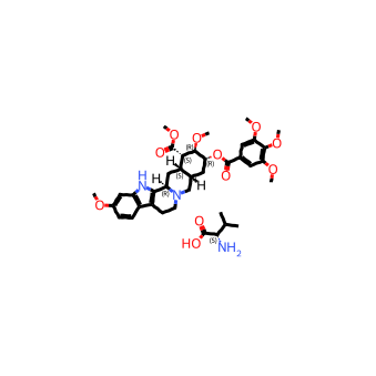 CC(C)[C@H](N)C(=O)O.COC(=O)[C@H]1[C@H]2C[C@@H]3c4[nH]c5cc(OC)ccc5c4CCN3C[C@H]2C[C@@H](OC(=O)c2cc(OC)c(OC)c(OC)c2)[C@@H]1OC